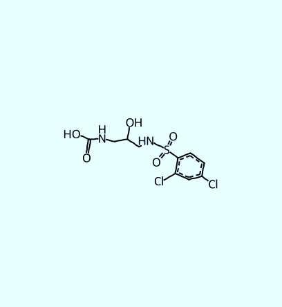 O=C(O)NCC(O)CNS(=O)(=O)c1ccc(Cl)cc1Cl